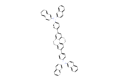 c1ccc2cc(N(c3ccc(-c4cc5c6c(c4)CCc4cc(-c7ccc(N(c8ccc9ccccc9c8)c8ccc9ccccc9c8)cc7)cc(c4-6)CC5)cc3)c3ccc4ccccc4c3)ccc2c1